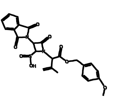 C=C(C)C(C(=O)OCc1ccc(OC)cc1)N1C(=O)C(N2C(=O)c3ccccc3C2=O)C1S(=O)O